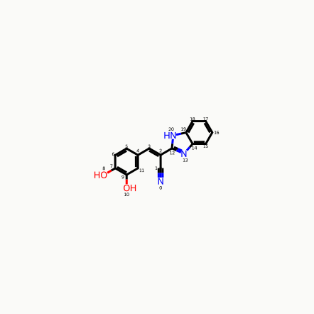 N#CC(=Cc1ccc(O)c(O)c1)c1nc2ccccc2[nH]1